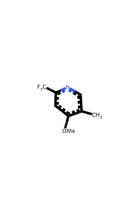 COc1cc(C(F)(F)F)ncc1C